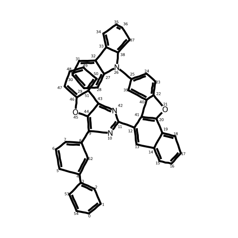 c1ccc(-c2cccc(-c3nc(-c4cc5ccccc5c5oc6ccc(-n7c8ccccc8c8ccccc87)cc6c45)nc4c3oc3ccccc34)c2)cc1